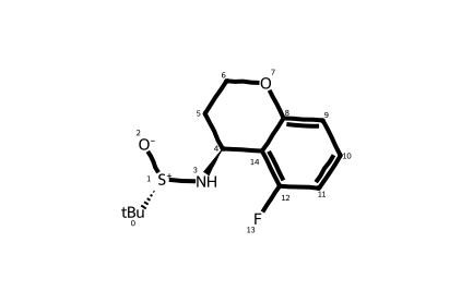 CC(C)(C)[S@+]([O-])N[C@H]1CCOc2cccc(F)c21